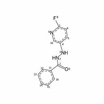 O=C(NNc1ccc(F)nc1)c1ccccc1